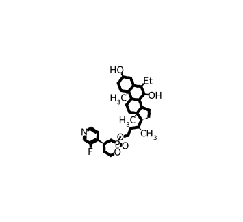 CC[C@@H]1C2C[C@H](O)CC[C@]2(C)C2CC[C@@]3(C)C(CC[C@@H]3[C@H](C)CCO[P@]3(=O)C[C@H](c4ccncc4F)CCO3)C2[C@@H]1O